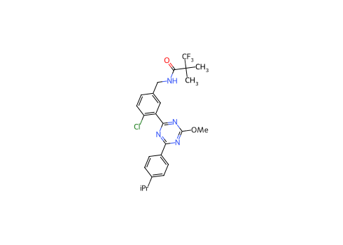 COc1nc(-c2ccc(C(C)C)cc2)nc(-c2cc(CNC(=O)C(C)(C)C(F)(F)F)ccc2Cl)n1